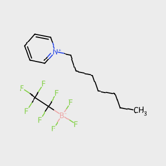 CCCCCCC[n+]1ccccc1.F[B-](F)(F)C(F)(F)C(F)(F)F